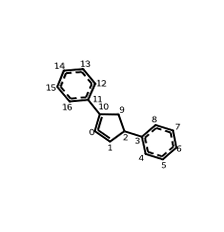 C1=CC(c2ccccc2)CC=1c1ccccc1